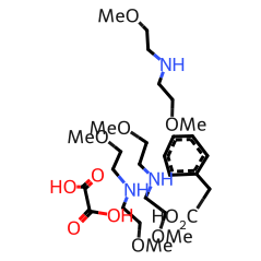 COCCNCCOC.COCCNCCOC.COCCNCCOC.O=C(O)C(=O)O.O=C(O)Cc1ccccc1